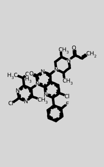 C=CC(=O)N1CC(C)N(c2nc(=O)n(-c3c(C)nc(Cl)nc3C(C)C)c3nc(-c4ccccc4F)c(Cl)cc23)CC1C